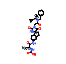 C[C@H](NC(=O)O)C(=O)Nc1ccc2c(c1)CC[C@]21NC(=O)N(CC(=O)N(Cc2ccccc2)[C@@H](C)C2CC2)C1=O